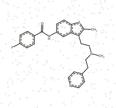 Cc1sc2ccc(NC(=O)c3ccc(F)cc3)cc2c1CCN(C)CCc1ccncc1